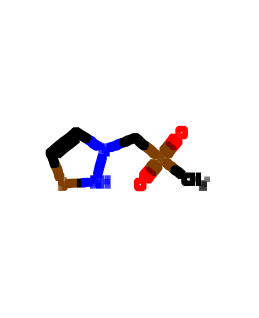 [CH2]S(=O)(=O)CN1C=CSN1